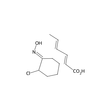 CC=CC=CC(=O)O.ON=C1CCCCC1Cl